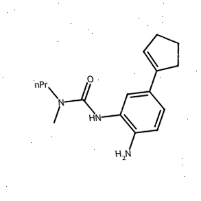 CCCN(C)C(=O)Nc1cc(C2=CCCC2)ccc1N